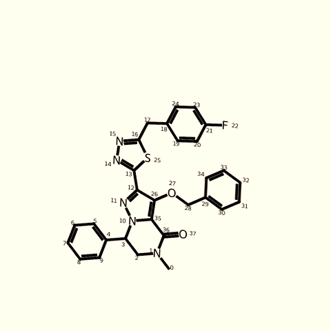 CN1CC(c2ccccc2)n2nc(-c3nnc(Cc4ccc(F)cc4)s3)c(OCc3ccccc3)c2C1=O